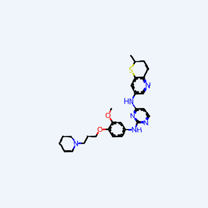 COc1cc(Nc2nccc(Nc3cnc4c(c3)SC(C)CC4)n2)ccc1OCCCN1CCCCC1